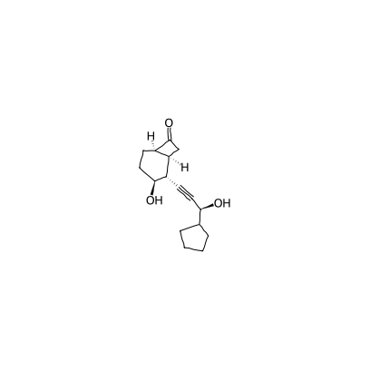 O=C1C[C@H]2[C@H](C#C[C@@H](O)C3CCCC3)[C@@H](O)CC[C@@H]12